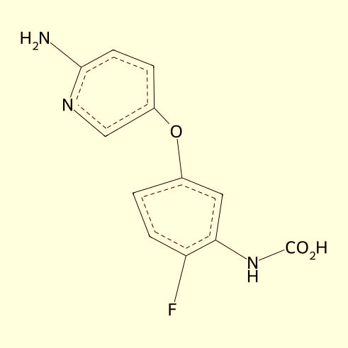 Nc1ccc(Oc2ccc(F)c(NC(=O)O)c2)cn1